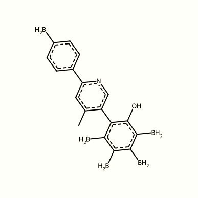 Bc1ccc(-c2cc(C)c(-c3c(B)c(B)c(B)c(B)c3O)cn2)cc1